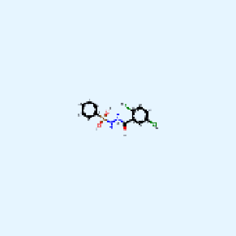 O=C(NNS(=O)(=O)c1ccccc1)c1cc(Cl)ccc1F